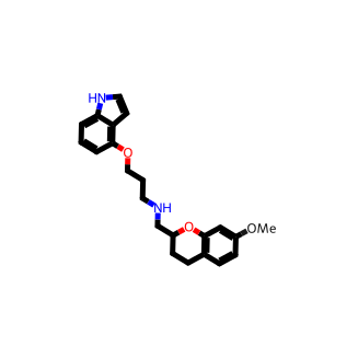 COc1ccc2c(c1)OC(CNCCCOc1cccc3[nH]ccc13)CC2